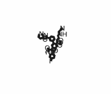 CNC(=O)c1c(-c2ccc(F)cc2)oc2cc(N(CCCNCC#N)S(C)(=O)=O)c(-c3cccc(-c4nc5ncccc5o4)c3)cc12